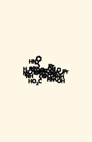 CC(C)CC(NC(=O)C(CC(C)C)NC(=O)C(CO)NC(=O)C(C)NC(=O)C(CO)NC(=O)C(CCC(=O)O)NC(=O)C(Cc1c[nH]c2ccccc12)NC(=O)C(N)Cc1cnc[nH]1)C(=O)O